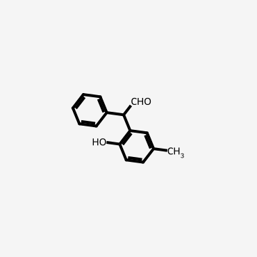 Cc1ccc(O)c(C(C=O)c2ccccc2)c1